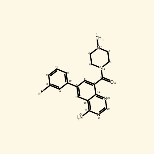 CN1CCN(C(=O)c2cc(-c3cccc(F)c3)cc3c(N)ncnc23)CC1